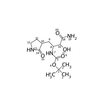 CC(C)(C)OC(=O)NC(CC1CCNC1=O)C(O)C(N)=O